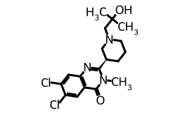 Cn1c([C@@H]2CCCN(CC(C)(C)O)C2)nc2cc(Cl)c(Cl)cc2c1=O